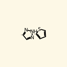 [c]1cccs1.[c]1cn[nH]n1